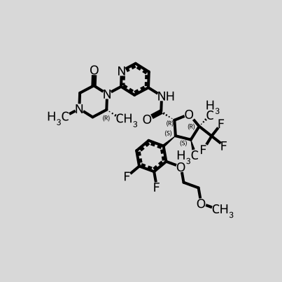 COCCOc1c([C@H]2[C@H](C(=O)Nc3ccnc(N4C(=O)CN(C)C[C@H]4C)c3)O[C@@](C)(C(F)(F)F)[C@H]2C)ccc(F)c1F